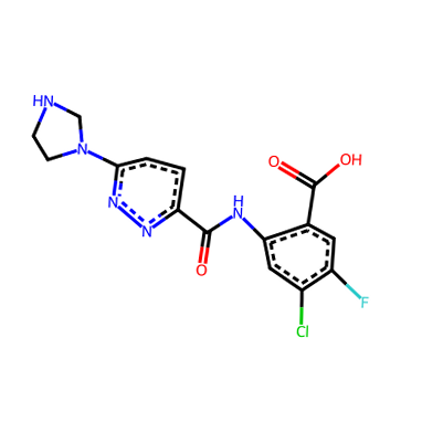 O=C(Nc1cc(Cl)c(F)cc1C(=O)O)c1ccc(N2CCNC2)nn1